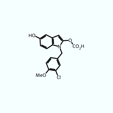 COc1ccc(Cn2c(OC(=O)O)cc3cc(O)ccc32)cc1Cl